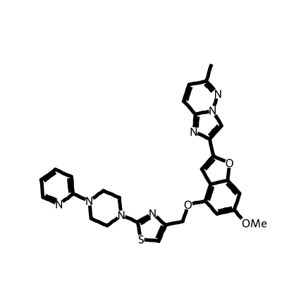 COc1cc(OCc2csc(N3CCN(c4ccccn4)CC3)n2)c2cc(-c3cn4nc(C)ccc4n3)oc2c1